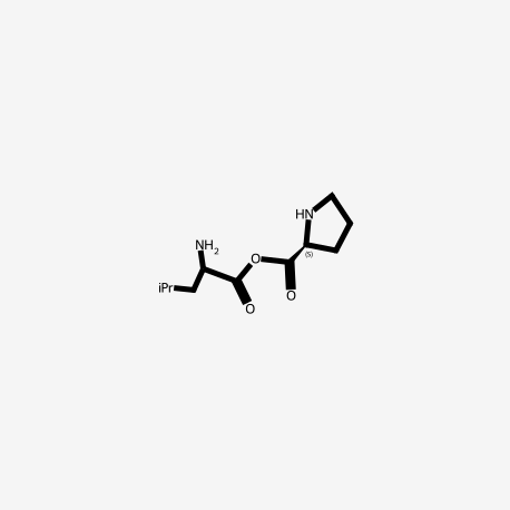 CC(C)CC(N)C(=O)OC(=O)[C@@H]1CCCN1